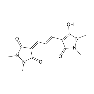 CN1C(=O)C(=C/C=C/c2c(O)n(C)n(C)c2=O)C(=O)N1C